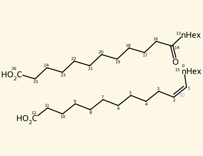 CCCCCC/C=C\CCCCCCCCCC(=O)O.CCCCCCC(=O)CCCCCCCCCCC(=O)O